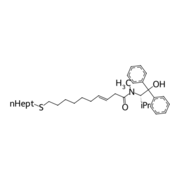 CCCCCCCSCCCCCC/C=C/CC(=O)N(C)[C@@H](C(C)C)C(O)(c1ccccc1)c1ccccc1